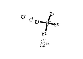 CC[N+](CC)(CC)CC.[Cl-].[Cl-].[Cl-].[Cu+2]